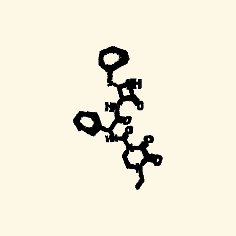 CCN1CCN(C(=O)NC(C(=O)N[C@@H]2C(=O)N[C@H]2Sc2ccccc2)c2ccccc2)C(=O)C1=O